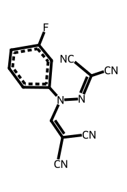 N#CC(C#N)=CN(N=C(C#N)C#N)c1cccc(F)c1